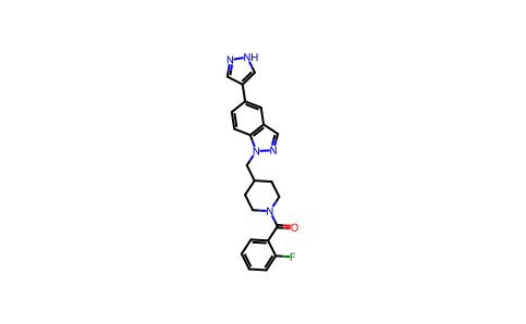 O=C(c1ccccc1F)N1CCC(Cn2ncc3cc(-c4cn[nH]c4)ccc32)CC1